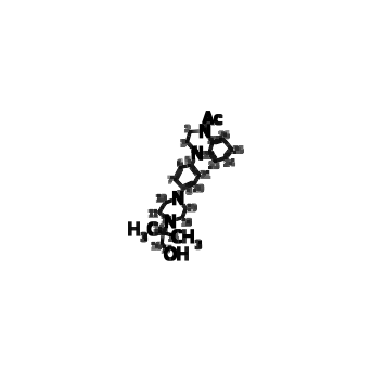 CC(=O)N1CCN(c2ccc(N3CCN(C(C)(C)CO)CC3)cc2)c2ccccc21